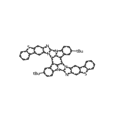 CC(C)(C)c1ccc2c(c1)c1c3c4c(c5cc(C(C)(C)C)ccc5n4c4nc5cc6sc7ccccc7c6cc5n34)c3c1n2c1nc2cc4sc5ccccc5c4cc2n31